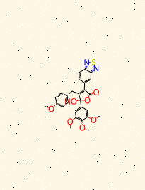 COc1ccc(CC2=C(c3ccc4nsnc4c3)C(=O)OC2(O)c2cc(OC)c(OC)c(OC)c2)cc1